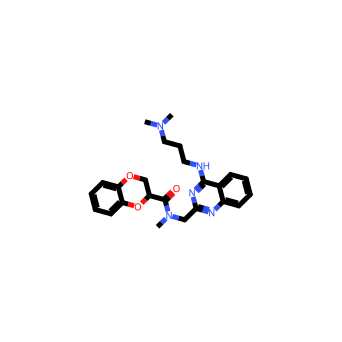 CN(C)CCCNc1nc(CN(C)C(=O)C2COc3ccccc3O2)nc2ccccc12